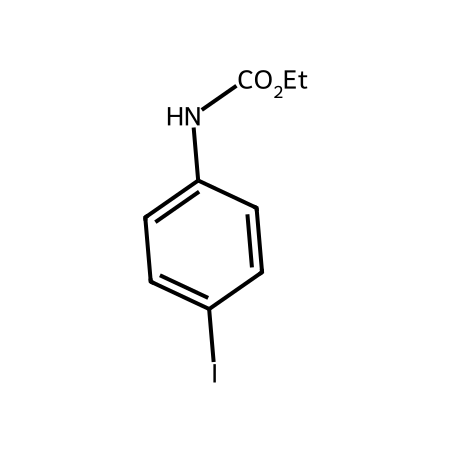 CCOC(=O)Nc1ccc(I)cc1